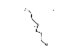 CC(=O)CCOCCCCl